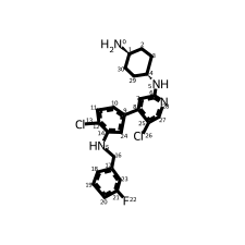 N[C@H]1CC[C@H](Nc2cc(-c3ccc(Cl)c(NCc4cccc(F)c4)c3)c(Cl)cn2)CC1